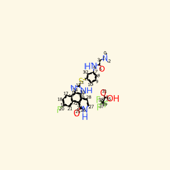 CN(C)CC(=O)Nc1cccc(Sc2nc3c4ccc(F)cc4c4c(=O)[nH]ccc4c3[nH]2)c1.O=C(O)C(F)(F)F